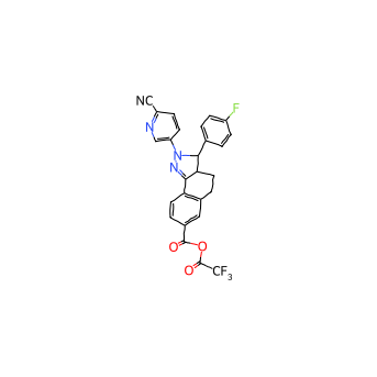 N#Cc1ccc(N2N=C3c4ccc(C(=O)OC(=O)C(F)(F)F)cc4CCC3C2c2ccc(F)cc2)cn1